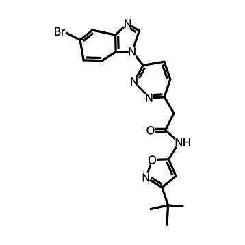 CC(C)(C)c1cc(NC(=O)Cc2ccc(-n3cnc4cc(Br)ccc43)nn2)on1